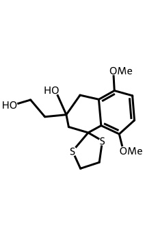 COc1ccc(OC)c2c1CC(O)(CCO)CC21SCCS1